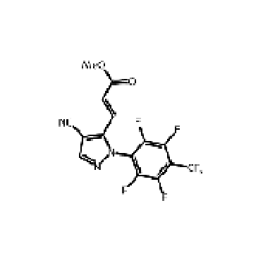 COC(=O)C=Cc1c(C#N)cnn1-c1c(F)c(F)c(C(F)(F)F)c(F)c1F